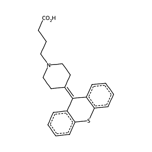 O=C(O)CCCN1CCC(=C2c3ccccc3Sc3ccccc32)CC1